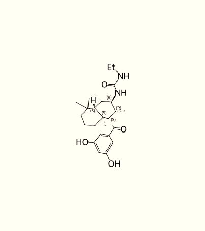 CCNC(=O)N[C@@H]1C[C@H]2C(C)(C)CCC[C@]2(C)[C@@H](C(=O)c2cc(O)cc(O)c2)[C@H]1C